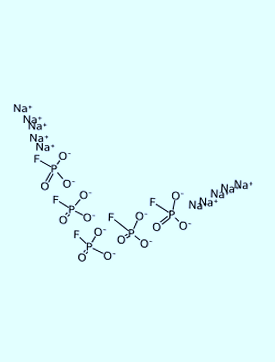 O=P([O-])([O-])F.O=P([O-])([O-])F.O=P([O-])([O-])F.O=P([O-])([O-])F.O=P([O-])([O-])F.[Na+].[Na+].[Na+].[Na+].[Na+].[Na+].[Na+].[Na+].[Na+].[Na+]